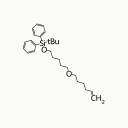 C=CCCCCOCCCCCO[Si](c1ccccc1)(c1ccccc1)C(C)(C)C